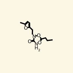 CCCC(=O)ON(CCc1ccc(C)o1)C(N)=O